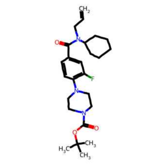 C=CCN(C(=O)c1ccc(N2CCN(C(=O)OC(C)(C)C)CC2)c(F)c1)C1CCCCC1